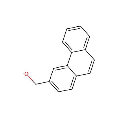 [O]Cc1ccc2ccc3ccccc3c2c1